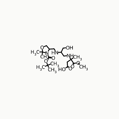 COC(=O)C(C)(CC(=O)O)NCC(CO)NCC1COC(C)(C)N1C(=O)OC(C)(C)C